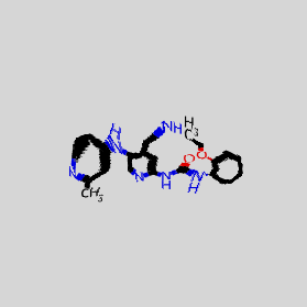 CCO[C@H]1CCCC[C@@H]1NC(=O)Nc1cc(C=N)c(Nc2ccnc(C)c2)cn1